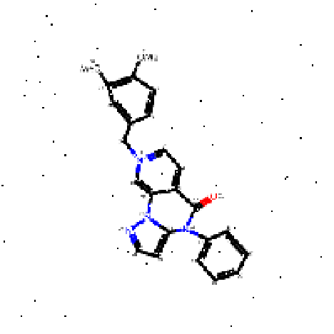 COc1ccc(C[n+]2ccc3c(=O)n(-c4ccccc4)c4ccnn4c3c2)cc1OC